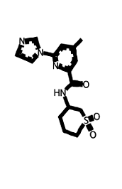 Cc1cc(C(=O)NC2CCCS(=O)(=O)C2)nc(-n2ccnc2)c1